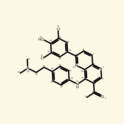 CC(=O)c1cnc2ccc(-c3cc(Cl)c(O)c(Cl)c3)nc2c1Nc1ccc(CCN(C)C)cc1